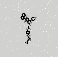 O=C(COc1nc(N2CCNCC2)c2cnc(-c3cccc4cccc(Cl)c34)c(F)c2n1)Nc1ccc(S(=O)(=O)n2cnc(C3CC3)n2)cc1